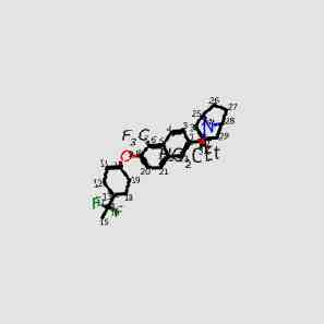 CCC(c1ccc2c(C(F)(F)F)c(OC3CCC(C(C)(F)F)CC3)ccc2c1)N1C2CCC1CC(C(=O)O)C2